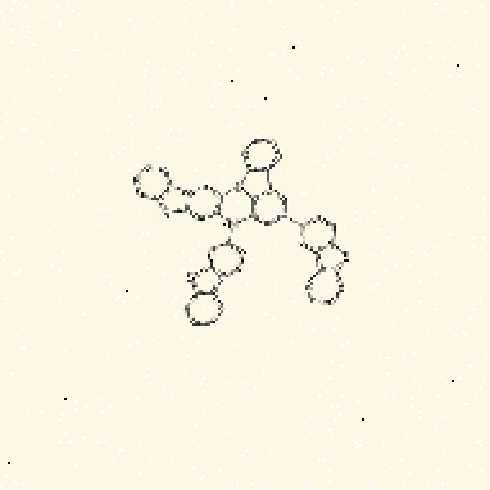 c1ccc2c(c1)B1c3cc4c(cc3N(c3ccc5c(c3)sc3ccccc35)c3cc(-c5ccc6sc7ccccc7c6c5)cc-2c31)sc1ccccc14